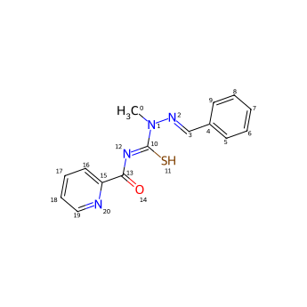 CN(N=Cc1ccccc1)C(S)=NC(=O)c1ccccn1